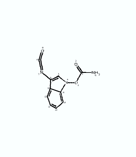 NC(=O)On1cc(N=C=O)c2ccccc21